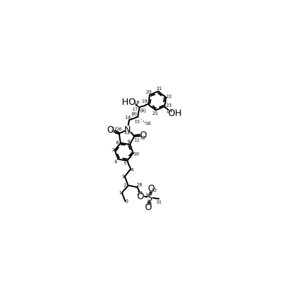 CCC(CCc1ccc2c(c1)C(=O)N(C[C@@H](C)[C@@H](O)c1cccc(O)c1)C2=O)COS(C)(=O)=O